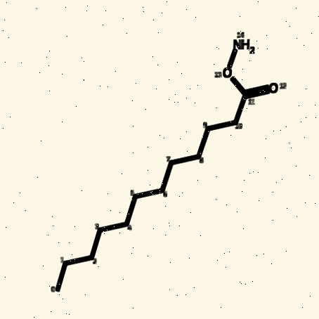 CCCCCCCCCCCC(=O)ON